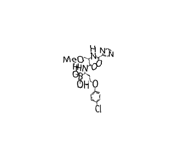 COCC(NC(=O)c1cnccn1)C(=O)N[C@@H](CCOc1ccc(Cl)cc1)B(O)O